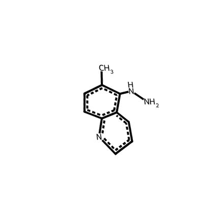 Cc1ccc2ncccc2c1NN